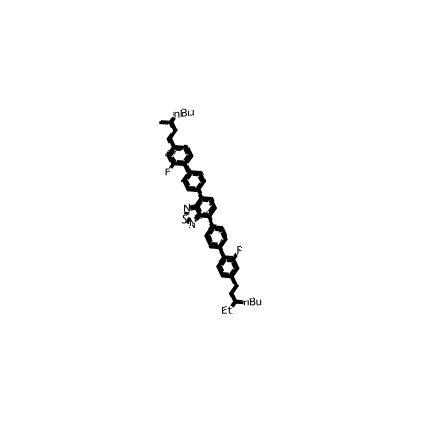 CCCCC(C)CCc1ccc(-c2ccc(-c3ccc(-c4ccc(-c5ccc(CCC(CC)CCCC)cc5F)cc4)c4nsnc34)cc2)c(F)c1